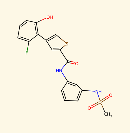 CS(=O)(=O)Nc1cccc(NC(=O)c2cc(-c3c(O)cccc3F)cs2)c1